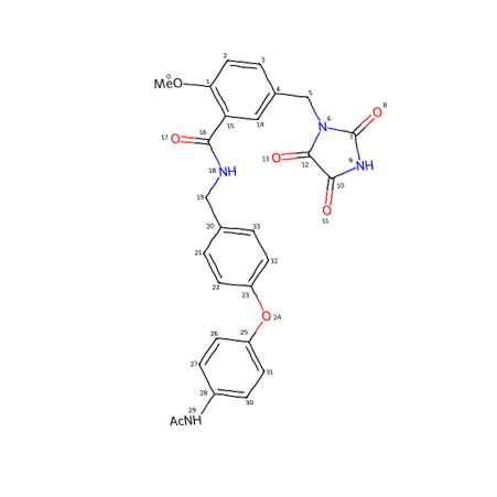 COc1ccc(CN2C(=O)NC(=O)C2=O)cc1C(=O)NCc1ccc(Oc2ccc(NC(C)=O)cc2)cc1